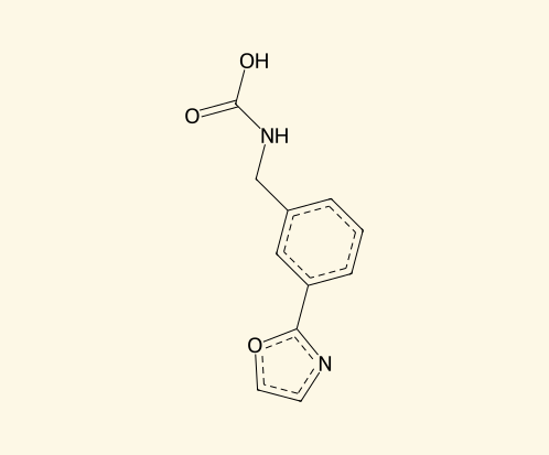 O=C(O)NCc1cccc(-c2ncco2)c1